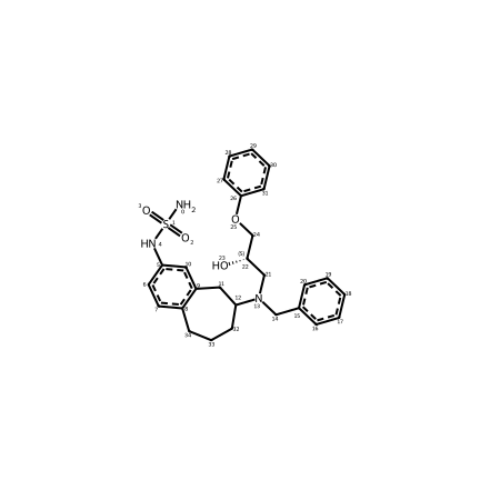 NS(=O)(=O)Nc1ccc2c(c1)CC(N(Cc1ccccc1)C[C@H](O)COc1ccccc1)CCC2